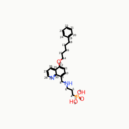 O=P(O)(O)CCCNCc1ccc(OCCCCCc2ccccc2)c2cccnc12